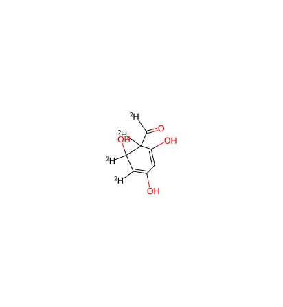 [2H]C(=O)C1([2H])C(O)=CC(O)=C([2H])C1([2H])O